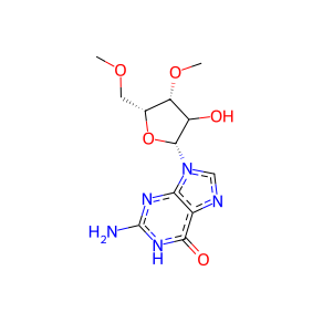 COC[C@H]1O[C@@H](n2cnc3c(=O)[nH]c(N)nc32)C(O)[C@H]1OC